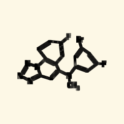 CN(c1cc(F)cc(Br)c1)c1cc2nnnn2c2ccc(F)cc12